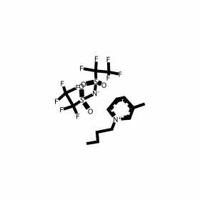 CCCC[n+]1cccc(C)c1.O=S(=O)([N-]S(=O)(=O)C(F)(F)C(F)(F)F)C(F)(F)C(F)(F)F